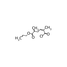 C=CCOC(=O)C(=C)CC=C(C)C(=O)Cl